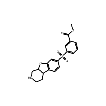 COC(=O)c1cccc(S(=O)(=O)c2ccc3c(c2)OC2CNCCC32)c1